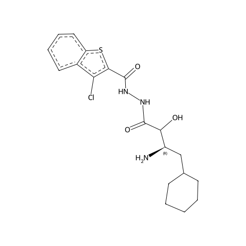 N[C@H](CC1CCCCC1)C(O)C(=O)NNC(=O)c1sc2ccccc2c1Cl